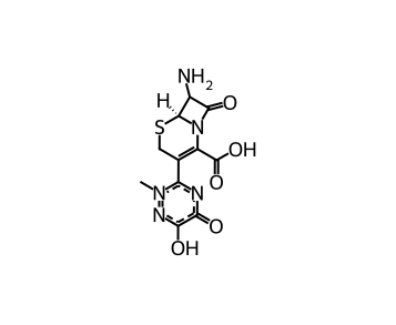 Cn1nc(O)c(=O)nc1C1=C(C(=O)O)N2C(=O)C(N)[C@@H]2SC1